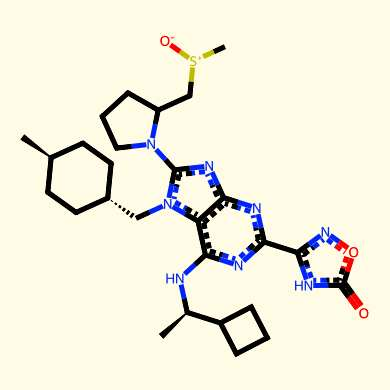 C[C@@H](Nc1nc(-c2noc(=O)[nH]2)nc2nc(N3CCCC3C[S+](C)[O-])n(C[C@H]3CC[C@H](C)CC3)c12)C1CCC1